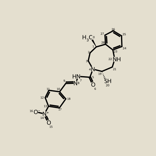 C[C@@H]1CCN(C(=O)N/N=C/c2ccc([N+](=O)[O-])cc2)[C@@H](S)CNc2ccccc21